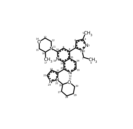 CCn1nc(C)cc1-c1cc(N2CCOCC2C)nc2c(-c3ccnn3C3CCCCO3)nccc12